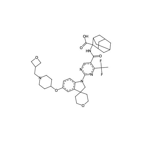 CC(F)(F)c1nc(N2CC3(CCOCC3)c3cc(OC4CCN(CC5COC5)CC4)ccc32)ncc1C(=O)NC1(C(=O)O)C2CC3CC(C2)CC1C3